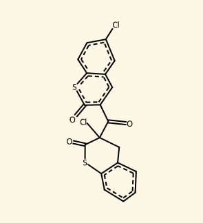 O=C1Sc2ccccc2CC1(Cl)C(=O)c1cc2cc(Cl)ccc2sc1=O